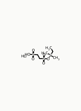 CC[Si](C)(C)OS(=O)(=O)CCS(=O)(=O)O.[LiH]